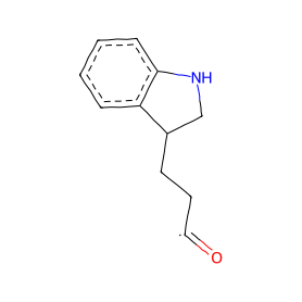 O=[C]CCC1CNc2ccccc21